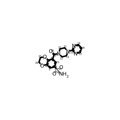 NS(=O)(=O)c1cc2c(c(C(=O)N3CCN(c4ncccn4)CC3)c1)OCCO2